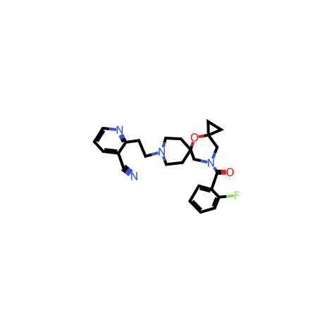 N#Cc1cccnc1CCN1CCC2(CC1)CN(C(=O)c1ccccc1F)CC1(CC1)O2